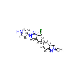 Cn1cc2cc(-c3cc(F)c4nn(C5CCNCC5)cc4c3)ccc2n1